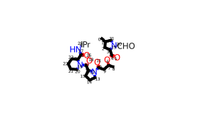 CC1CC(C(=O)OC(C)CC(=O)N2CCCC2C(=O)N2CCCCC2C(=O)NC(C)C)N(C=O)C1